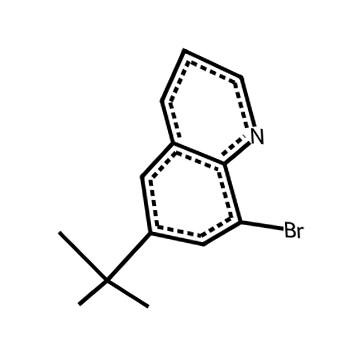 CC(C)(C)c1cc(Br)c2ncccc2c1